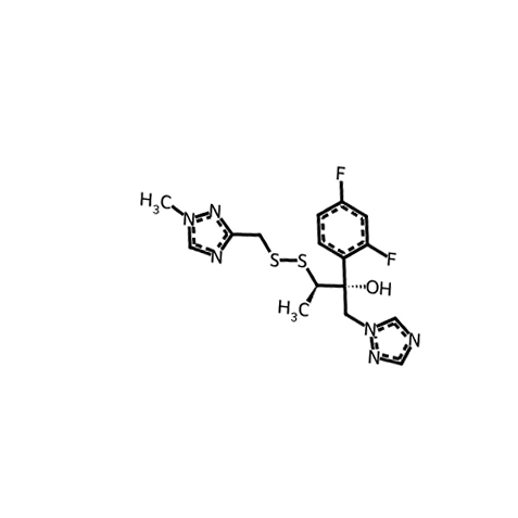 C[C@@H](SSCc1ncn(C)n1)[C@](O)(Cn1cncn1)c1ccc(F)cc1F